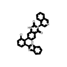 O=c1[nH]c2cc(-c3c(Cl)cccc3-c3nc4ccccc4[nH]3)ccc2c(=O)n1-c1cncc2ccccc12